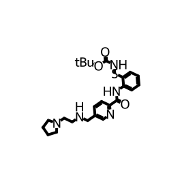 CC(C)(C)OC(=O)NSc1ccccc1NC(=O)c1ccc(CNCCN2CCCC2)cn1